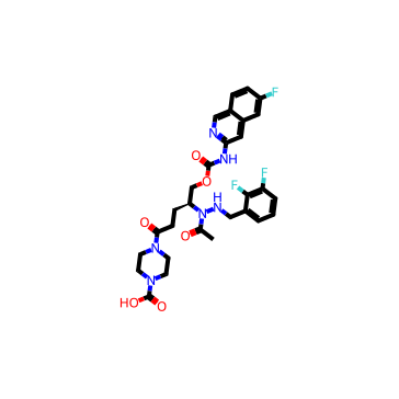 CC(=O)N(NCc1cccc(F)c1F)[C@@H](CCC(=O)N1CCN(C(=O)O)CC1)COC(=O)Nc1cc2cc(F)ccc2cn1